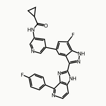 O=C(Nc1cncc(-c2cc(F)c3[nH]nc(-c4nc5c(-c6ccc(F)cc6)nccc5[nH]4)c3c2)c1)C1CC1